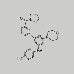 O=C(c1cccc(-c2cc(Nc3ccc(O)cc3)cc(N3CCOCC3)n2)c1)N1CCCC1